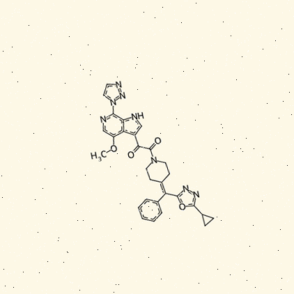 COc1cnc(-n2ccnn2)c2[nH]cc(C(=O)C(=O)N3CCC(=C(c4ccccc4)c4nnc(C5CC5)o4)CC3)c12